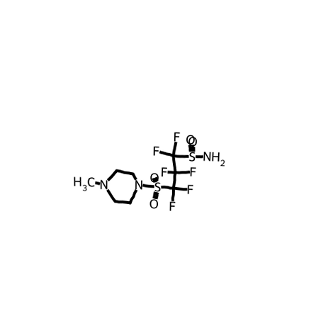 CN1CCN(S(=O)(=O)C(F)(F)C(F)(F)C(F)(F)S(N)(=O)=O)CC1